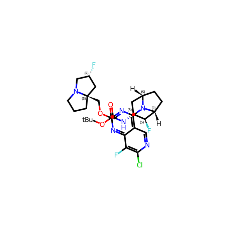 CC(C)(C)OC(=O)N[C@@H]1C[C@@H]2CC[C@H]([C@H]1F)N2c1nc(OC[C@@]23CCCN2C[C@H](F)C3)nc2c(F)c(Cl)ncc12